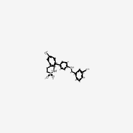 O=S1(=O)CCc2cc(Cl)cc(-c3ccc(OCc4cccc(F)c4)cc3)c2N1